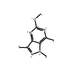 COc1nc(C)c2c(n1)c(C)nn2C